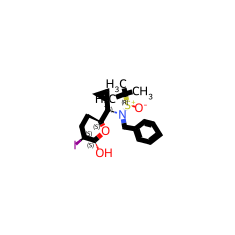 CC(C)(C)[S@+]([O-])N(Cc1ccccc1)[C@@H](C1CC1)[C@@H]1CC[C@H](I)[C@@H](O)O1